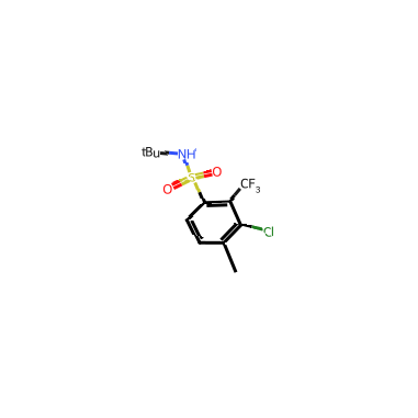 Cc1ccc(S(=O)(=O)NC(C)(C)C)c(C(F)(F)F)c1Cl